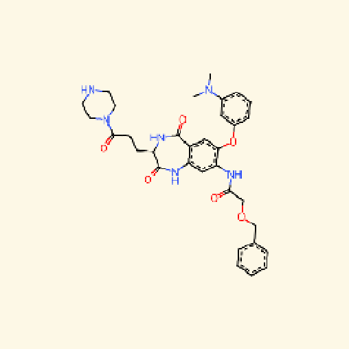 CN(C)c1cccc(Oc2cc3c(cc2NC(=O)COCc2ccccc2)NC(=O)[C@@H](CCC(=O)N2CCNCC2)NC3=O)c1